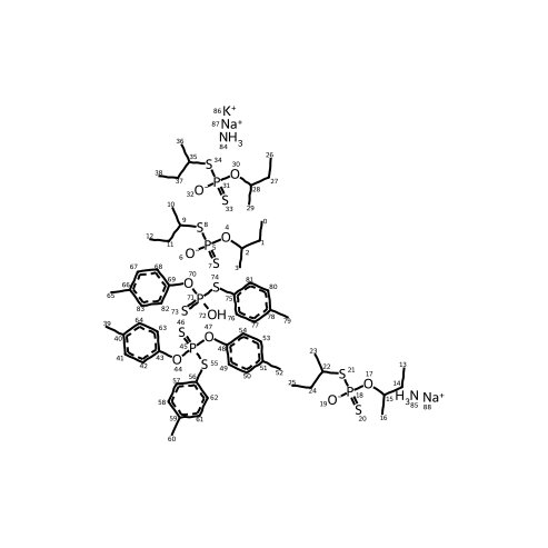 CCC(C)OP([O-])(=S)SC(C)CC.CCC(C)OP([O-])(=S)SC(C)CC.CCC(C)OP([O-])(=S)SC(C)CC.Cc1ccc(OP(=S)(Oc2ccc(C)cc2)Sc2ccc(C)cc2)cc1.Cc1ccc(OP(O)(=S)Sc2ccc(C)cc2)cc1.N.N.[K+].[Na+].[Na+]